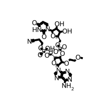 COCCOC1C(OP(=O)(O)OC[C@H]2OC(n3ccc(=O)[nH]c3=O)C(O)C2O)[C@@H](COP(=O)(O)OCCC#N)O[C@H]1n1cnc2c(N)ncnc21